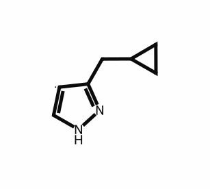 [c]1c[nH]nc1CC1CC1